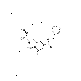 CC(C)(C)OC(=O)CC(CCCNC(=O)OC(C)(C)C)C(=O)NCc1ccccc1